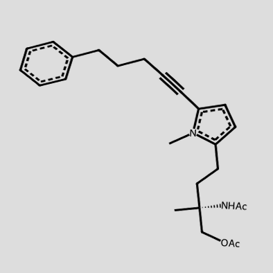 CC(=O)N[C@](C)(CCc1ccc(C#CCCCc2ccccc2)n1C)COC(C)=O